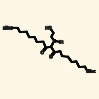 CCCCCCCCCCCCCCCCCC(=O)C(C(=O)CCCCCCCCCCCCCCCCC)N(CC)CCO